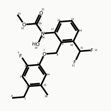 CCc1cc(F)c(OCc2c(C(F)F)cccc2N(O)C(=O)OC)cc1C